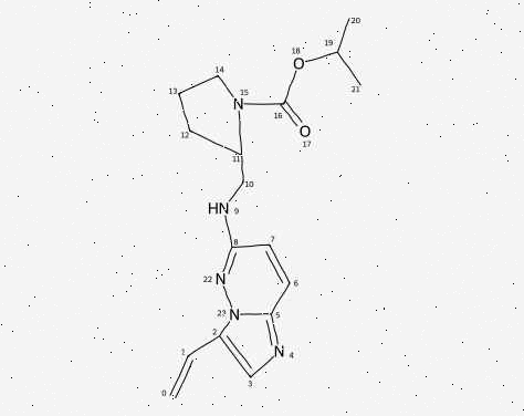 C=Cc1cnc2ccc(NCC3CCCN3C(=O)OC(C)C)nn12